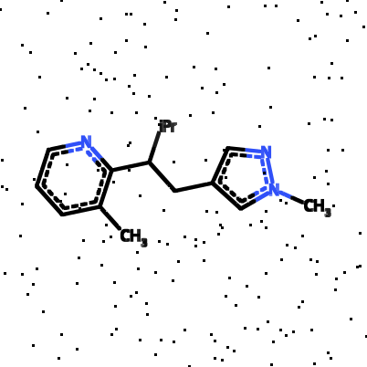 Cc1cccnc1C(Cc1cnn(C)c1)C(C)C